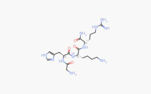 N=C(N)NCCC[C@H](NC(=O)[C@H](CCCCN)NC(=O)[C@H](Cc1c[nH]cn1)NC(=O)CN)C(N)=O